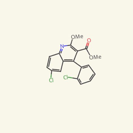 COC(=O)c1c(OC)nc2ccc(Cl)cc2c1-c1ccccc1Cl